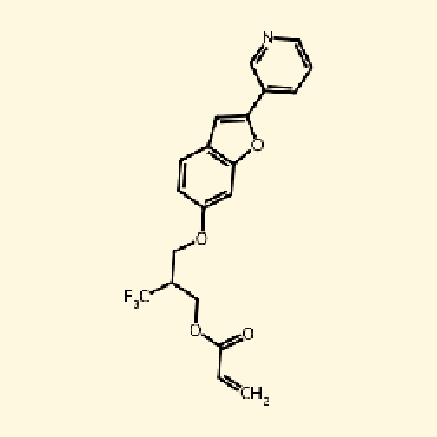 C=CC(=O)OCC(COc1ccc2cc(-c3cccnc3)oc2c1)C(F)(F)F